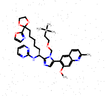 COc1cc2nc(C)ccc2cc1-c1cnc([C@H](CCCCCC2(c3ncco3)OCCO2)Nc2ncccn2)n1COCC[Si](C)(C)C